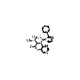 CC(C1C(=O)Nc2cncnc2N1N(C(=O)O)n1ccnc1-c1ccccc1)C(C)(C)C